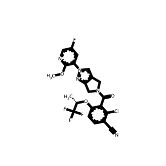 COc1ncc(F)cc1-n1cc2c(n1)CN(C(=O)c1c(O[C@@H](C)C(F)(F)F)ccc(C#N)c1Cl)C2